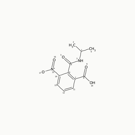 CC(C)NC(=O)c1c(C(=O)O)cccc1[N+](=O)[O-]